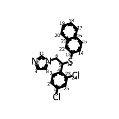 Clc1ccc(C(Cn2ccnc2)Sc2ccc3ccccc3c2)c(Cl)c1